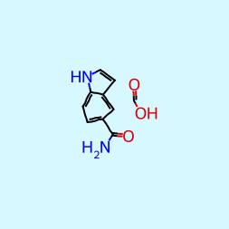 NC(=O)c1ccc2[nH]ccc2c1.O=CO